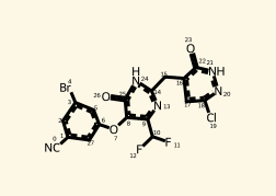 N#Cc1cc(Br)cc(Oc2c(C(F)F)nc(Cc3cc(Cl)n[nH]c3=O)[nH]c2=O)c1